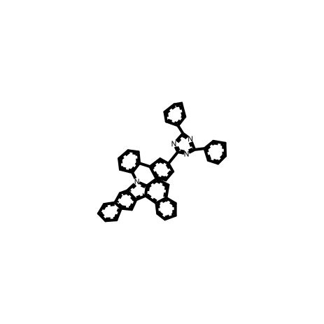 c1ccc(-c2nc(-c3ccccc3)nc(-c3cccc(-c4ccccc4-n4c5cc6ccccc6cc5c5c6ccccc6ccc54)c3)n2)cc1